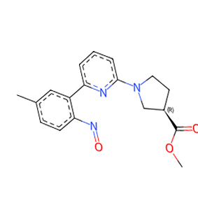 COC(=O)[C@@H]1CCN(c2cccc(-c3cc(C)ccc3N=O)n2)C1